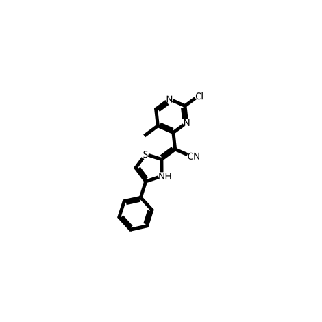 Cc1cnc(Cl)nc1C(C#N)=C1NC(c2ccccc2)=CS1